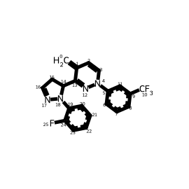 C=C1C=CN(c2cccc(C(F)(F)F)c2)N=C1C1CC=NN1c1ccccc1F